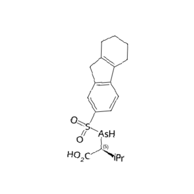 CC(C)[C@H]([AsH]S(=O)(=O)c1ccc2c(c1)CC1=C2CCCC1)C(=O)O